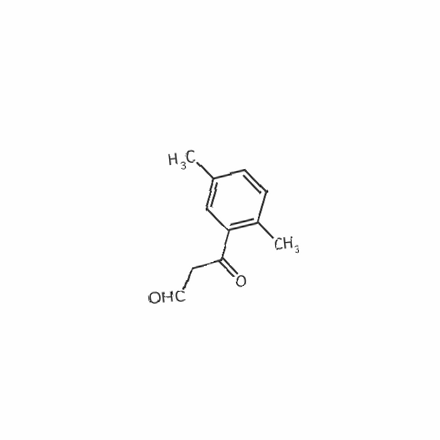 Cc1ccc(C)c(C(=O)CC=O)c1